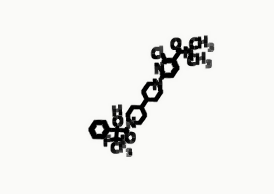 CN(C)C(=O)c1ccc(N2CCC(C3CCN(C(=O)C(O)(c4ccccc4)C(F)(F)C(F)(F)F)CC3)CC2)nc1Cl